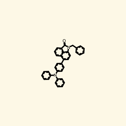 O=C1c2cccc3c(-c4ccc(N(c5ccccc5)c5ccccc5)cc4)ccc(c23)N1Cc1ccccc1